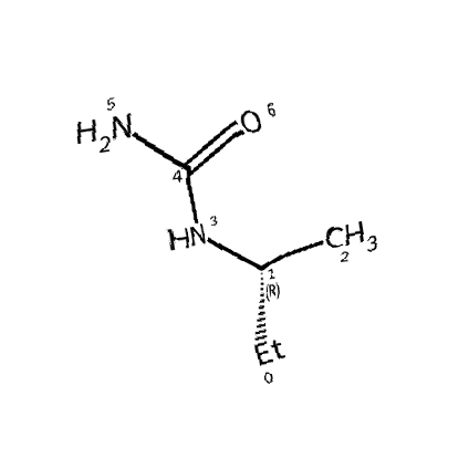 CC[C@@H](C)NC(N)=O